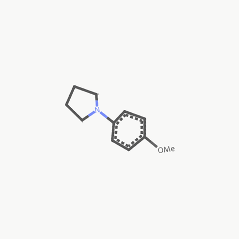 COc1ccc(N2[CH]CC[CH]2)cc1